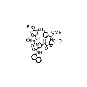 COC[C@@H](c1ccccc1)N(C=O)CC1(C(=O)N[C@H]2C[C@@H](C(=O)N[C@@H]3CCCc4ccccc43)N(C(=O)[C@@H](NC(=O)CN(C)C(=O)OC(C)(C)C)C(C)(C)C)C2)CC1